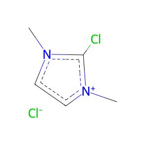 Cn1cc[n+](C)c1Cl.[Cl-]